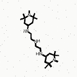 CN1C(C)(C)CC(NCCNCCNC2CC(C)(C)N(C)C(C)(C)C2)CC1(C)C